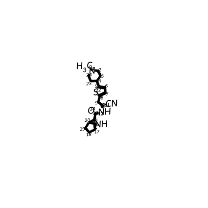 CN1CCC(c2ccc(C[C@@H](C#N)NC(=O)C3NC4CCC3C4)s2)CC1